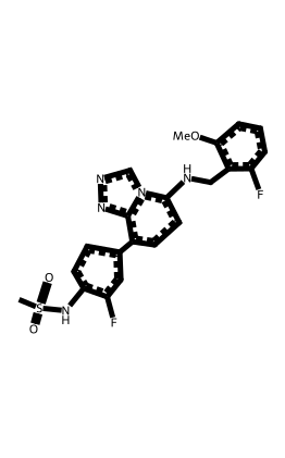 COc1cccc(F)c1CNc1ccc(-c2ccc(NS(C)(=O)=O)c(F)c2)c2nncn12